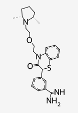 C[C@@H]1CCC[C@H](C)N1CCOCCN1C(=O)C(c2cccc(C(=N)N)c2)Sc2ccccc21